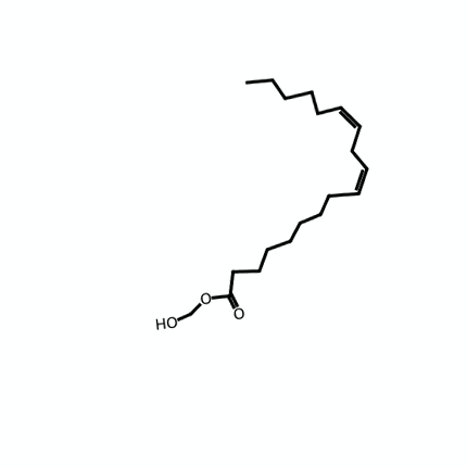 CCCCC/C=C\C/C=C\CCCCCCCC(=O)OCO